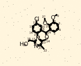 COc1cccc(C(=O)c2cc(Cl)ccc2-n2c(CO)nc(C)c2C)c1OC